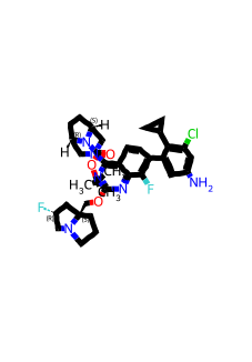 CC(C)(C)OC(=O)N1[C@@H]2CC[C@H]1CN(c1nc(OC[C@@]34CCCN3C[C@H](F)C4)nc3c(F)c(-c4cc(N)cc(Cl)c4C4CC4)ccc13)C2